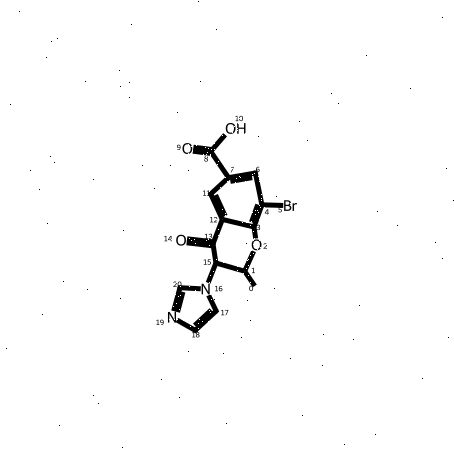 CC1Oc2c(Br)cc(C(=O)O)cc2C(=O)C1n1ccnc1